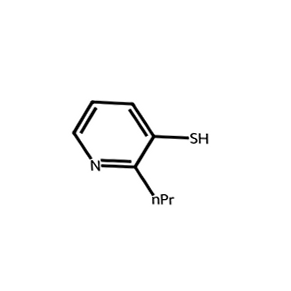 CCCc1ncccc1S